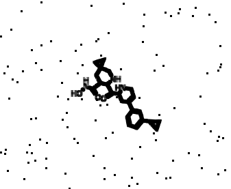 O=C(NO)C1CC2(CC2)CNC1C(=O)C1CC(c2cccc(C3CC3)c2)=CCN1